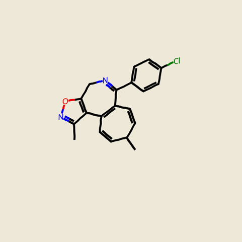 Cc1noc2c1C1=C(C=CC(C)C=C1)C(c1ccc(Cl)cc1)=NC2